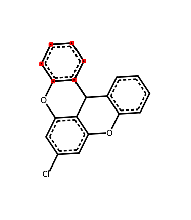 Clc1cc2c3c(c1)Oc1ccccc1C3(c1ccccc1)c1ccccc1O2